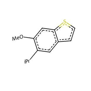 COc1cc2sccc2cc1C(C)C